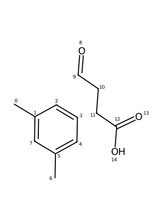 Cc1cccc(C)c1.O=CCCC(=O)O